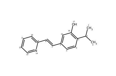 CC(C)c1ccc(/C=C/c2ccccn2)cc1O